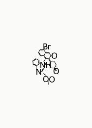 C1=CNc2ccccc2C=N1.CCOC(C)=O.O=C1C=c2ccc3c(c2CC1)C(=O)C=c1c(Br)cccc1=3